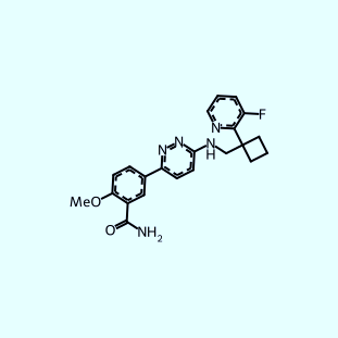 COc1ccc(-c2ccc(NCC3(c4ncccc4F)CCC3)nn2)cc1C(N)=O